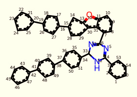 c1ccc(C2=NC(c3cccc4oc5cc(-c6ccc(-c7ccccc7)cc6)ccc5c34)=NC(c3ccc(-c4ccc(-c5ccccc5)cc4)cc3)N2)cc1